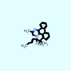 CCC=CC1(C)N2CC(C)=Nc3c2c2c(cccc2c2ccccc32)C1(C)C